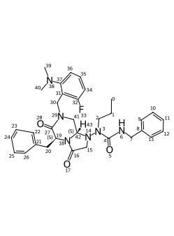 CCCN(C(=O)NCc1ccccc1)N1CC(=O)N2[C@@H](Cc3ccccc3)C(=O)N(Cc3c(F)cccc3N(C)C)C[C@@H]21